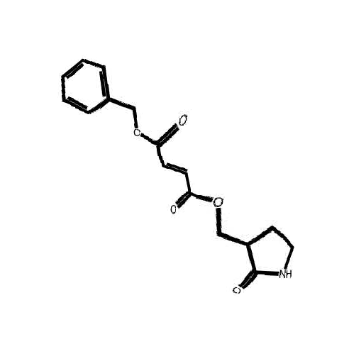 O=C(/C=C/C(=O)OCC1CCNC1=O)OCc1ccccc1